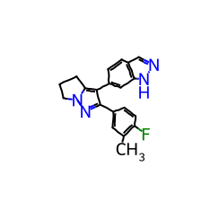 Cc1cc(-c2nn3c(c2-c2ccc4cn[nH]c4c2)CCC3)ccc1F